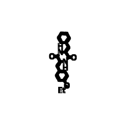 CCOc1ccc(C=c2[nH]c(=O)c(=Cc3ccccc3)[nH]c2=O)cc1